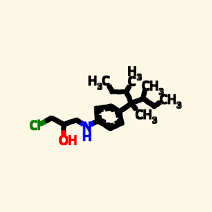 CCC(C)C(C)(c1ccc(NCC(O)CCl)cc1)C(C)CC